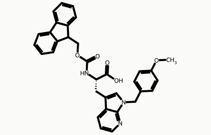 COc1ccc(Cn2cc(C[C@H](NC(=O)OCC3c4ccccc4-c4ccccc43)C(=O)O)c3cccnc32)cc1